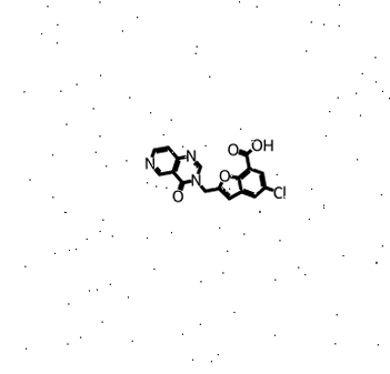 O=C(O)c1cc(Cl)cc2cc(Cn3cnc4ccncc4c3=O)oc12